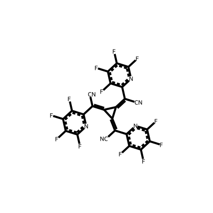 N#CC(=C1C(=C(C#N)c2nc(F)c(F)c(F)c2F)C1=C(C#N)c1nc(F)c(F)c(F)c1F)c1nc(F)c(F)c(F)c1F